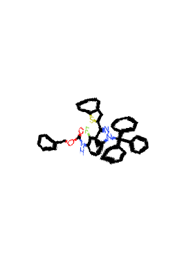 O=C(Nc1ccc2c(c(-c3cc4ccccc4s3)nn2C(c2ccccc2)(c2ccccc2)c2ccccc2)c1F)OCc1ccccc1